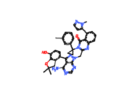 Cc1cccc(C2(n3c(Cn4nc(-c5ccc(O)c6c5CC(C)(C)O6)c5c(N)ncnc54)nc4cccc(-c5ccnn5C)c4c3=O)CC2)c1